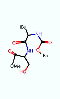 CCC(C)C(NC(=O)OC(C)(C)C)C(=O)NC(CO)C(=O)OC